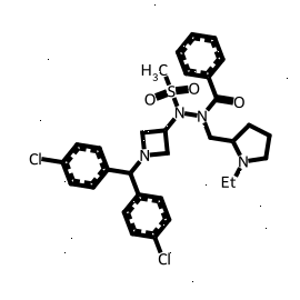 CCN1CCCC1CN(C(=O)c1ccccc1)N(C1CN(C(c2ccc(Cl)cc2)c2ccc(Cl)cc2)C1)S(C)(=O)=O